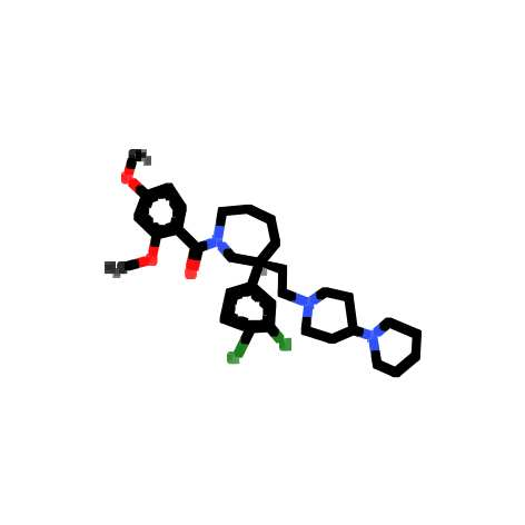 COc1ccc(C(=O)N2CCCC[C@](CCN3CCC(N4CCCCC4)CC3)(c3ccc(Cl)c(Cl)c3)C2)c(OC)c1